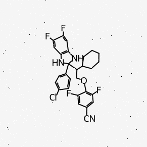 N#Cc1cc(F)c(OCC(C2CCCCC2)C2(c3ccc(Cl)cc3)Nc3cc(F)c(F)cc3N2)c(F)c1